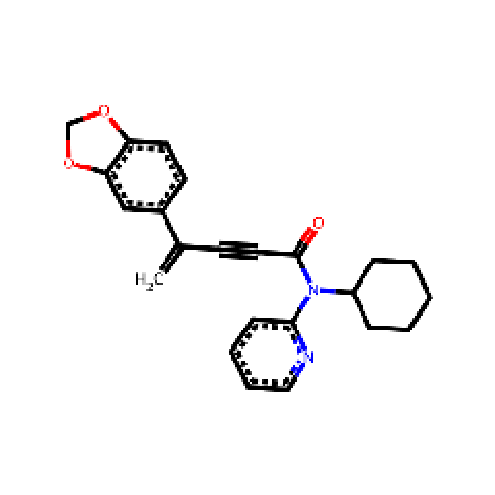 C=C(C#CC(=O)N(c1ccccn1)C1CCCCC1)c1ccc2c(c1)OCO2